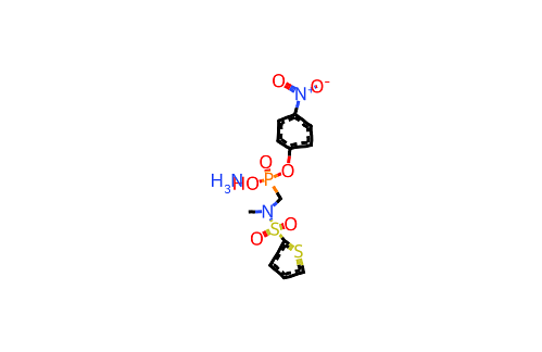 CN(CP(=O)(O)Oc1ccc([N+](=O)[O-])cc1)S(=O)(=O)c1cccs1.N